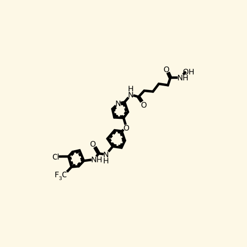 O=C(CCCCC(=O)Nc1cc(Oc2ccc(NC(=O)Nc3ccc(Cl)c(C(F)(F)F)c3)cc2)ccn1)NO